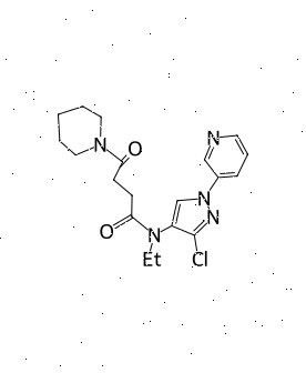 CCN(C(=O)CCC(=O)N1CCCCC1)c1cn(-c2cccnc2)nc1Cl